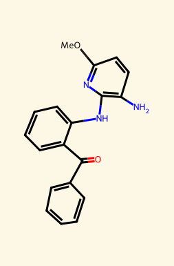 COc1ccc(N)c(Nc2ccccc2C(=O)c2ccccc2)n1